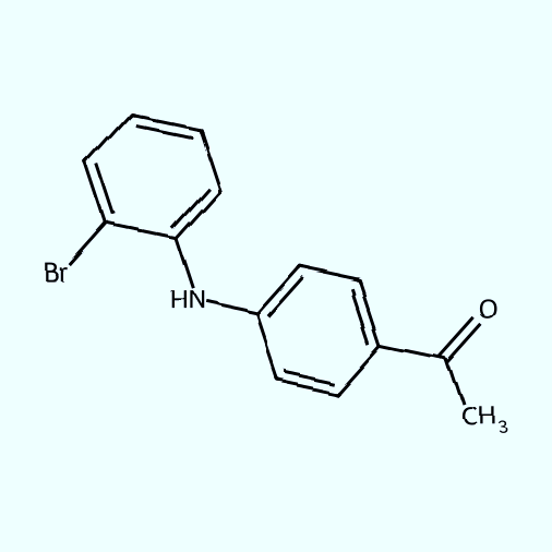 CC(=O)c1ccc(Nc2ccccc2Br)cc1